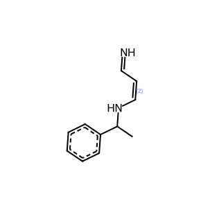 CC(N/C=C\C=N)c1ccccc1